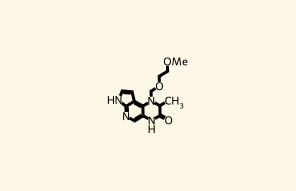 COCCOCN1c2c(cnc3[nH]ccc23)NC(=O)C1C